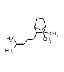 CC(C)=CCCC1C2CCC(C2)C1(C)C